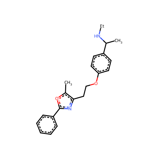 CCNC(C)c1ccc(OCCc2nc(-c3ccccc3)oc2C)cc1